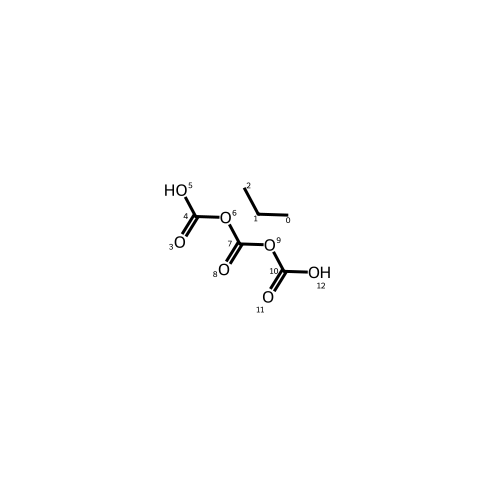 CCC.O=C(O)OC(=O)OC(=O)O